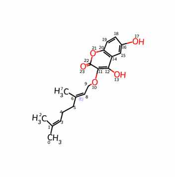 CC(C)=CCC/C(C)=C/COc1c(O)c2cc(O)ccc2oc1=O